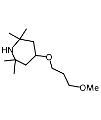 COCCCOC1CC(C)(C)NC(C)(C)C1